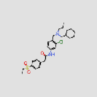 CCCN(Cc1ccc(NC(=O)Cc2ccc(S(=O)(=O)CC)cc2)cc1Cl)CC1CCCCC1